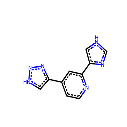 c1cc(-c2c[nH]nn2)cc(-c2c[nH]cn2)n1